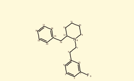 Fc1cccc(CCN2CCCCC2Cc2ccccc2)c1